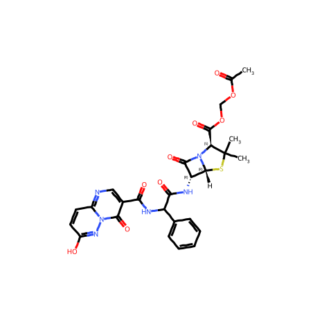 CC(=O)OCOC(=O)[C@@H]1N2C(=O)[C@@H](NC(=O)C(NC(=O)c3cnc4ccc(O)nn4c3=O)c3ccccc3)[C@H]2SC1(C)C